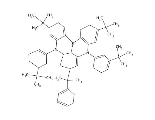 CC(C)(C)C1=CCCC(N2C3=CC(C(C)(C)C4=CC=CCC4)CC4C3B(C3=CCC(C(C)(C)C)C=C3N4C3=CCCC(C(C)(C)C)C3)C3=C2C=C(C(C)(C)C)CC3)=C1